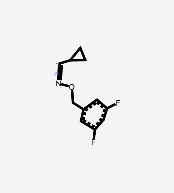 Fc1cc(F)cc(CO/N=[C]\C2CC2)c1